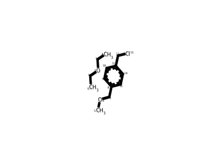 CCOCC.COCc1ccc(CCl)cc1